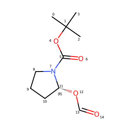 CC(C)(C)OC(=O)N1CCC[C@H]1OC=O